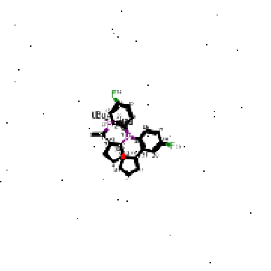 CC([C@@H]1CCC[C@@H]1P(c1ccc(F)cc1)c1ccc(F)cc1C1CCCC1)P(C(C)(C)C)C(C)(C)C